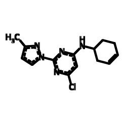 Cc1ccn(-c2nc(Cl)cc(NC3CC=CCC3)n2)n1